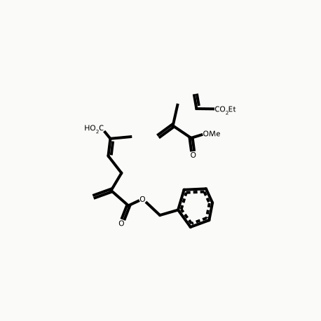 C=C(C)C(=O)OC.C=C(CC=C(C)C(=O)O)C(=O)OCc1ccccc1.C=CC(=O)OCC